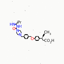 CC#C[C@@H](CC(=O)O)c1ccc(OCc2ccc(CN3CCN(C(=O)NC(=N)C(C)C)CC3)cc2)cc1